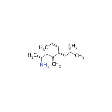 C=C(C)/C=C(\C=C/C)C(=C)CC(=C)N